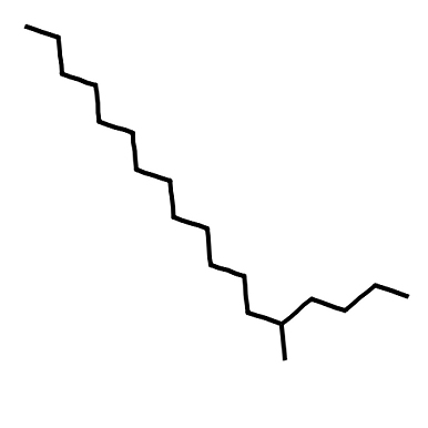 CCCCCCCCCCCCCC(C)CCCC